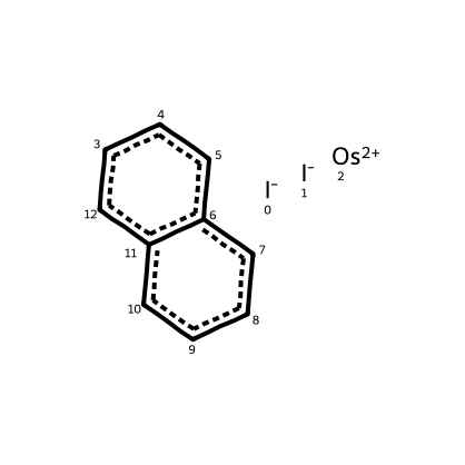 [I-].[I-].[Os+2].c1ccc2ccccc2c1